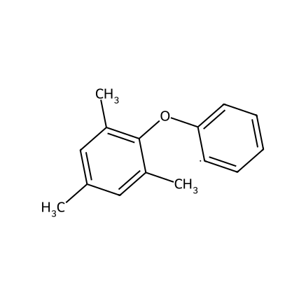 Cc1cc(C)c(Oc2[c]cccc2)c(C)c1